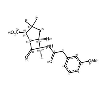 COc1cccc(CC(=O)N[C@@]2(C)C(=O)N3[C@@H](C(=O)O)C(C)(C)S[C@@H]32)c1